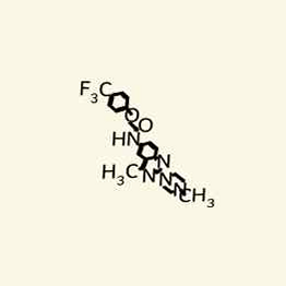 Cc1nc(N2CCN(C)CC2)nc2ccc(NC(=O)COc3ccc(C(F)(F)F)cc3)cc12